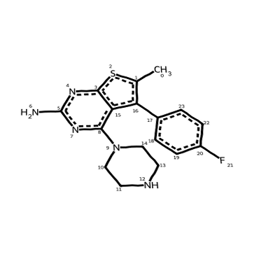 Cc1sc2nc(N)nc(N3CCNCC3)c2c1-c1ccc(F)cc1